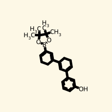 CC1(C)OB(C2=CCCC(C3=CC(c4cccc(O)c4)=CCC3)=C2)OC1(C)C